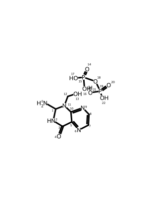 NC1NC(=O)c2nccnc2N1CO.O=P(O)(O)OP(=O)(O)O